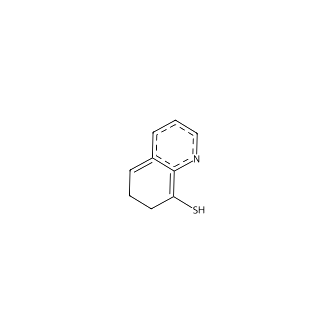 SC1=c2ncccc2=CCC1